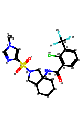 Cn1cnc(S(=O)(=O)N2CC3CCCCC3(NC(=O)c3cccc(C(F)(F)F)c3Cl)C2)c1